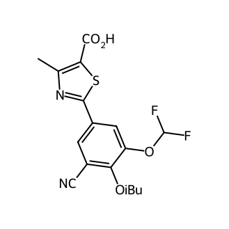 Cc1nc(-c2cc(C#N)c(OCC(C)C)c(OC(F)F)c2)sc1C(=O)O